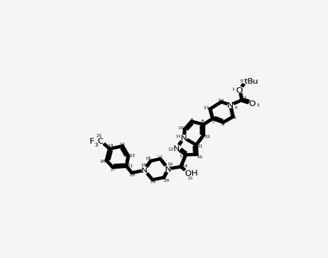 CC(C)(C)OC(=O)N1CC=C(c2ccn3nc(C(O)N4CCN(Cc5ccc(C(F)(F)F)cc5)CC4)cc3c2)CC1